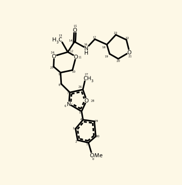 COc1ccc(-c2nc(CC3COC(C)(C(=O)NCC4CCOCC4)OC3)c(C)o2)cc1